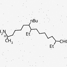 CCCCC(CCCC[C@@H](C)N)C(CC)CCCCCC(C=O)CC